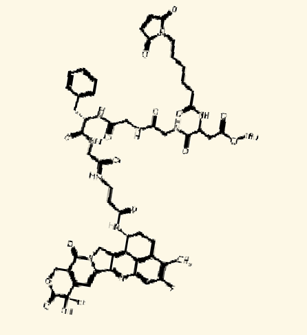 CC[C@@]1(O)C(=O)OCc2c1cc1n(c2=O)Cc2c-1nc1cc(F)c(C)c3c1c2[C@@H](NC(=O)CCNC(=O)CNC(=O)[C@H](Cc1ccccc1)NC(=O)CNC(=O)CNC(=O)C(CC(=O)OC(C)(C)C)NC(=O)CCCCCN1C(=O)C=CC1=O)CC3